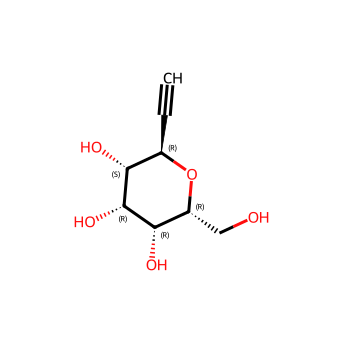 C#C[C@H]1O[C@H](CO)[C@H](O)[C@H](O)[C@@H]1O